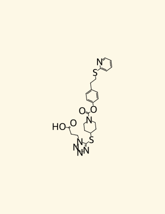 O=C(O)CCn1nnnc1SC1CCN(C(=O)Oc2ccc(CCSc3ccccn3)cc2)CC1